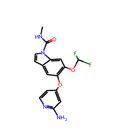 CNC(=O)n1ccc2cc(Oc3ccnc(N)c3)c(OC(F)F)cc21